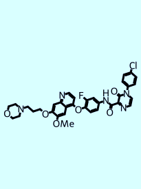 COc1cc2c(Oc3ccc(NC(=O)c4nccn(-c5ccc(Cl)cc5)c4=O)cc3F)ccnc2cc1OCCCN1CCOCC1